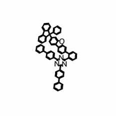 c1ccc(-c2ccc(-c3nc(-c4ccc(-c5ccccc5)cc4)nc(-c4ccccc4-c4ccc5c(c4)oc4cc(C6(c7ccccc7)c7ccccc7-c7ccccc76)ccc45)n3)cc2)cc1